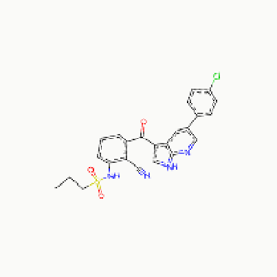 CCCS(=O)(=O)Nc1cccc(C(=O)c2c[nH]c3ncc(-c4ccc(Cl)cc4)cc23)c1C#N